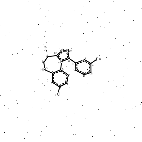 C[C@H]1CNc2cc(Cl)ccc2-n2c(-c3cccc(F)c3)nnc21